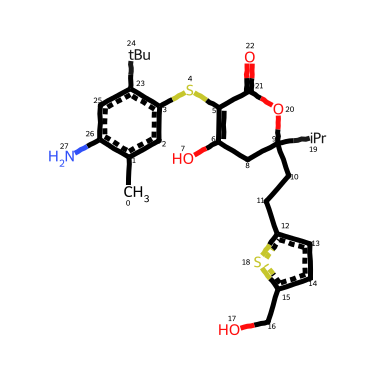 Cc1cc(SC2=C(O)CC(CCc3ccc(CO)s3)(C(C)C)OC2=O)c(C(C)(C)C)cc1N